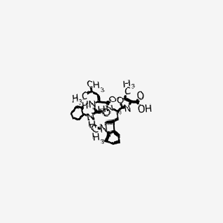 Cc1oc([C@@H](Cc2cn(C)c3ccccc23)NC(=O)C(CC(C)C)NC(=O)NC2CCCCC2)nc1C(=O)O